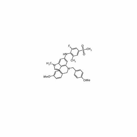 COc1ccc(CN(Cc2ccc(OC)cc2)c2cc(Nc3c(C)cc(S(C)(=O)=O)cc3F)cc3c2ncn3C)cc1